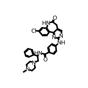 CN1CCN(CC(NC(=O)c2ccc(Nc3ncc4c(n3)-c3ccc(Cl)cc3NC(=O)C4)cc2)c2ccccc2)CC1